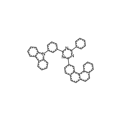 c1ccc(-c2nc(-c3cccc(-n4c5ccccc5c5ccccc54)c3)nc(-c3ccc4ccc5ccc6ccccc6c5c4c3)n2)cc1